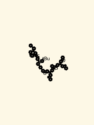 CC(C)(C)c1cccc(N(c2cccc(-c3ccc(-c4ccc5oc6cc(N(c7ccc8c(c7)C(C)(C)c7ccccc7-8)c7ccc8c(c7)c7cccc9c%10c%11ccc(N(c%12ccc%13c(c%12)C(C)(C)c%12ccccc%12-%13)c%12ccc%13c(c%12)oc%12ccccc%12%13)cc%11sc%10n8c79)ccc6c5c4)cc3)c2)c2ccc3c(c2)sc2c4ccc(N(c5cccc(-c6ccccc6)c5)c5cccc(C(C)(C)C)c5)c5c6ccccc6n(c32)c45)c1